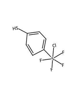 FS(F)(F)(F)(Cl)c1ccc(S)cc1